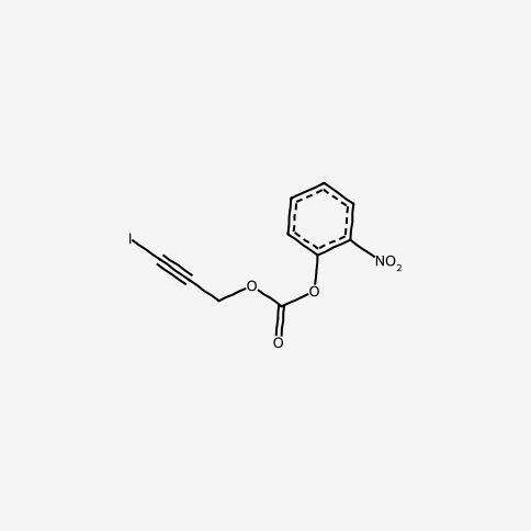 O=C(OCC#CI)Oc1ccccc1[N+](=O)[O-]